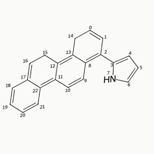 C1=CC(c2ccc[nH]2)=c2ccc3c(c2C1)CC=c1ccccc1=3